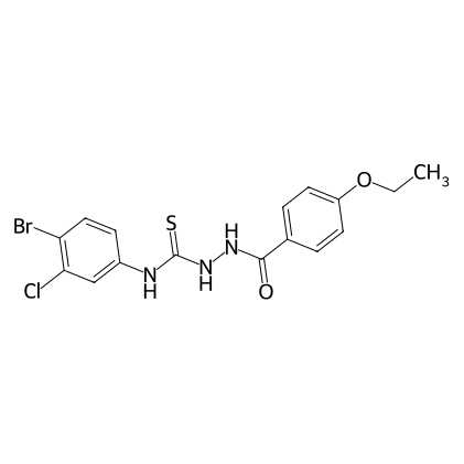 CCOc1ccc(C(=O)NNC(=S)Nc2ccc(Br)c(Cl)c2)cc1